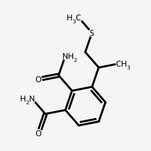 CSCC(C)c1cccc(C(N)=O)c1C(N)=O